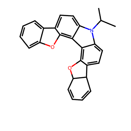 CC(C)n1c2ccc3c(c2c2c4oc5ccccc5c4ccc21)OC1C=CC=CC31